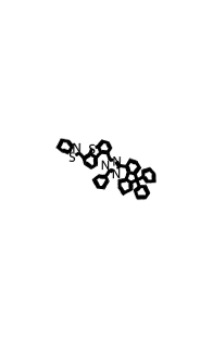 c1ccc(-c2nc(-c3cccc4c3-c3ccccc3C4(c3ccccc3)c3ccccc3)nc(-c3cccc4sc5c(-c6nc7ccccc7s6)cccc5c34)n2)cc1